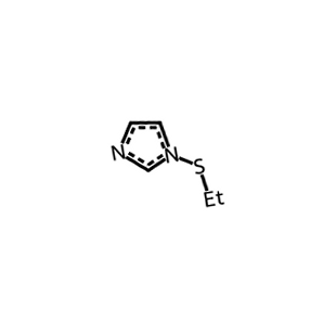 CCSn1ccnc1